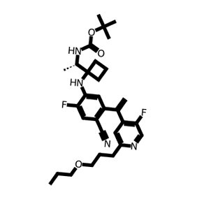 C=C(c1cc(CCCOCCC)ncc1F)c1cc(NC2([C@H](C)NC(=O)OC(C)(C)C)CCC2)c(F)cc1C#N